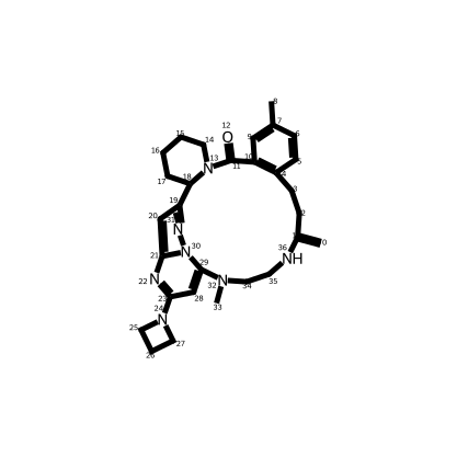 C=C1CCc2ccc(C)cc2C(=O)N2CCCCC2c2cc3nc(N4CCC4)cc(n3n2)N(C)CCN1